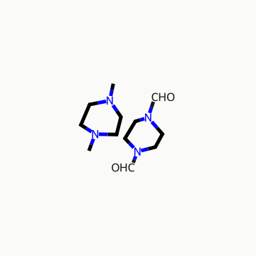 CN1CCN(C)CC1.O=CN1CCN(C=O)CC1